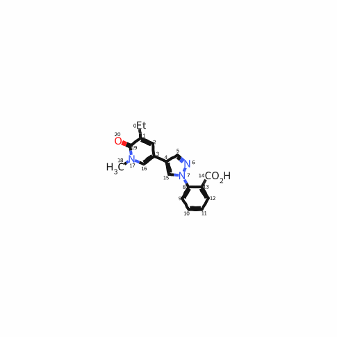 CCc1cc(-c2cnn(-c3ccccc3C(=O)O)c2)cn(C)c1=O